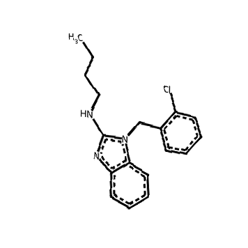 CCCCNc1nc2ccccc2n1Cc1ccccc1Cl